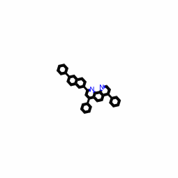 c1ccc(-c2ccc3cc(-c4cc(-c5ccccc5)c5ccc6c(-c7ccccc7)ccnc6c5n4)ccc3c2)cc1